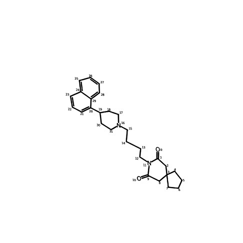 O=C1CC2(CCCC2)CC(=O)N1CCCCN1CCC(c2cccc3ccccc23)CC1